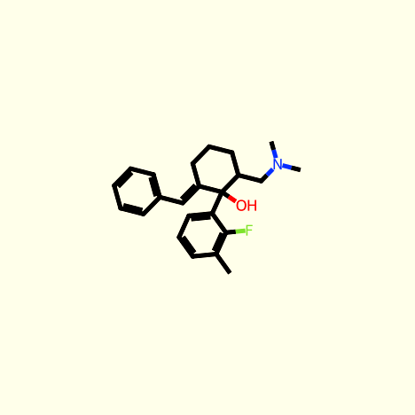 Cc1cccc(C2(O)C(=Cc3ccccc3)CCCC2CN(C)C)c1F